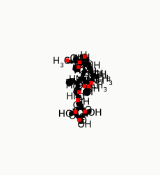 CCCC[C@@H](NC(=O)[C@@H](Cc1ccccc1)NC(=O)[C@@H](Cc1c[nH]cn1)NC(=O)CCNC(=O)[C@@H](NC(=O)[C@H](C)NC(=O)[C@H](Cc1c[nH]c2ccccc12)NC(=O)[C@H](CCC(N)=O)NC(=O)[C@H](Cc1ccccc1)NC(=O)c1ccc(NC(=O)CNC(=O)CN2CCN(CC(=O)O)CCN(CC(=O)O)CCN(CC(=O)O)CC2)cc1)C(C)C)C(N)=O